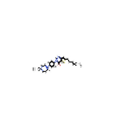 CCCCCc1cc2ncn(-c3ccc(N4CCCN(C)CC4)cc3)c(=O)c2s1